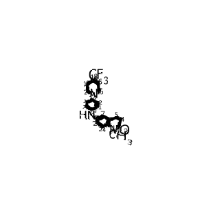 CN1C(=O)CCc2cc(Nc3ccc(N4CCC(C(F)(F)F)CC4)cc3)ccc21